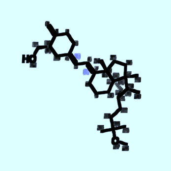 C=C1CC/C(=C\C=C2/CCC[C@@]3(C)[C@@]2(C)CC[C@]3(C)[C@@H](C)CCCC(C)(C)OC)C[C@H]1CO